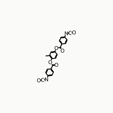 Cc1cc(OC(=O)c2ccc(N=C=O)cc2)ccc1OC(=O)c1ccc(N=C=O)cc1